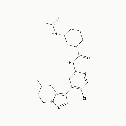 CC(=O)N[C@@H]1CCC[C@H](C(=O)Nc2cc(-c3cnn4c3CC(C)CC4)c(Cl)cn2)C1